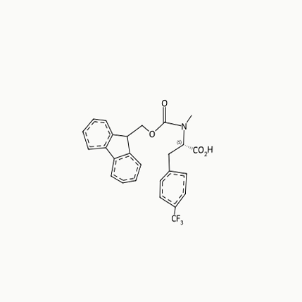 CN(C(=O)OCC1c2ccccc2-c2ccccc21)[C@@H](Cc1ccc(C(F)(F)F)cc1)C(=O)O